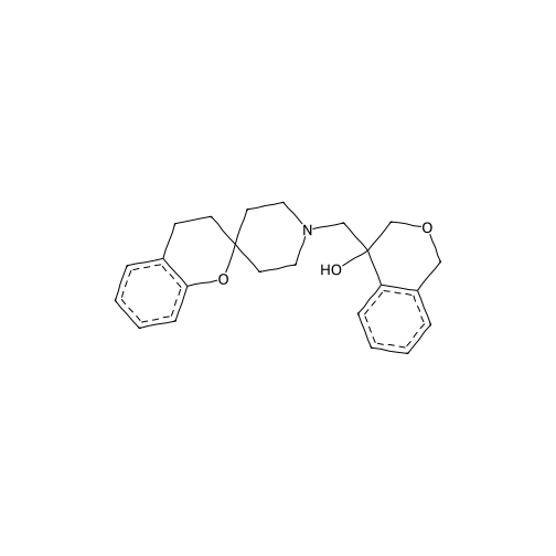 OC1(CN2CCC3(CCc4ccccc4O3)CC2)COCc2ccccc21